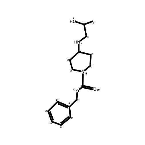 CC(O)CNC1CCN(C(=O)OCc2ccccc2)CC1